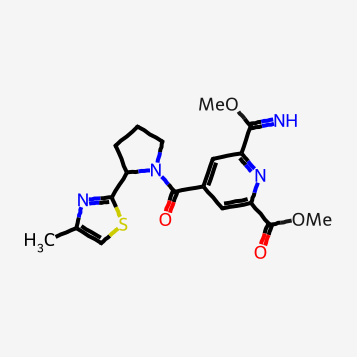 COC(=N)c1cc(C(=O)N2CCCC2c2nc(C)cs2)cc(C(=O)OC)n1